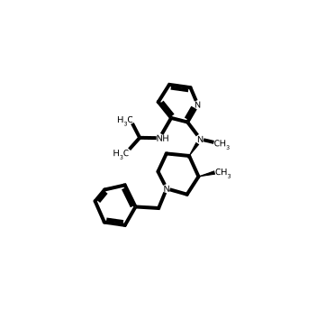 CC(C)Nc1cccnc1N(C)[C@@H]1CCN(Cc2ccccc2)C[C@@H]1C